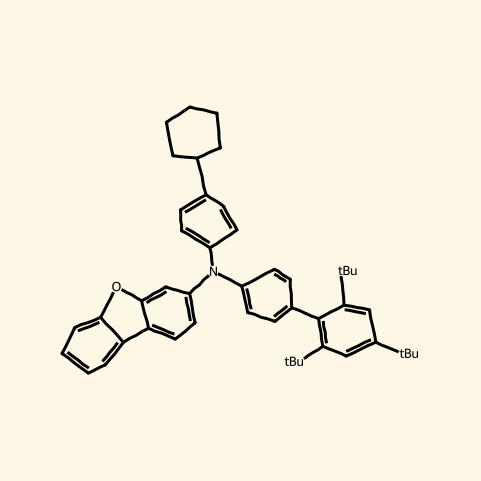 CC(C)(C)c1cc(C(C)(C)C)c(-c2ccc(N(c3ccc(C4CCCCC4)cc3)c3ccc4c(c3)oc3ccccc34)cc2)c(C(C)(C)C)c1